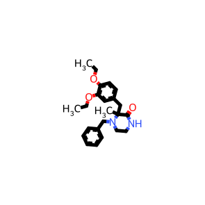 CCOc1ccc(CC2(C)C(=O)NCCN2Cc2ccccc2)cc1OCC